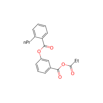 CCCc1ccccc1C(=O)Oc1cccc(C(=O)OC(=O)CC)c1